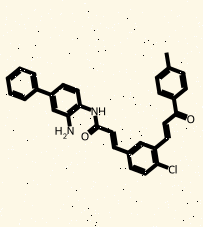 Cc1ccc(C(=O)C=Cc2cc(C=CC(=O)Nc3ccc(-c4ccccc4)cc3N)ccc2Cl)cc1